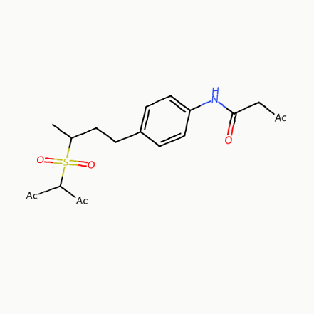 CC(=O)CC(=O)Nc1ccc(CCC(C)S(=O)(=O)C(C(C)=O)C(C)=O)cc1